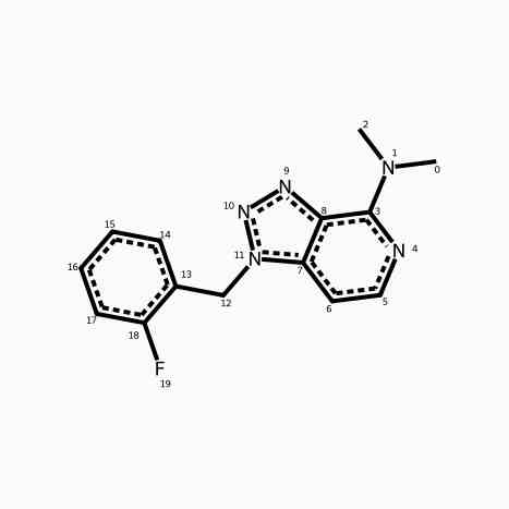 CN(C)c1nccc2c1nnn2Cc1ccccc1F